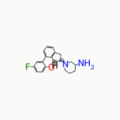 NC1CCCN([C@@H]2Cc3cccc4c3[C@H]2Oc2ccc(F)cc2-4)C1